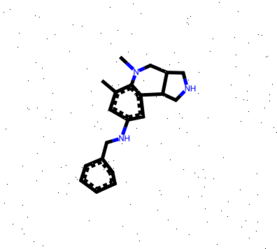 Cc1cc(NCc2ccccc2)cc2c1N(C)CC1CNCC21